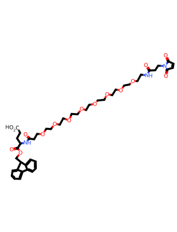 O=C(O)CCC(NC(=O)CCOCCOCCOCCOCCOCCOCCOCCOCCNC(=O)CCN1C(=O)C=CC1=O)C(=O)OCC1c2ccccc2-c2ccccc21